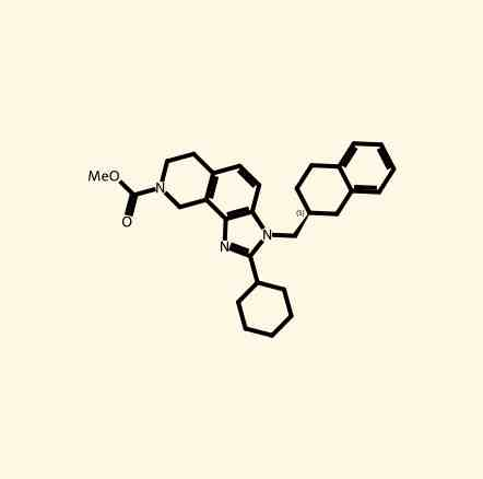 COC(=O)N1CCc2ccc3c(nc(C4CCCCC4)n3C[C@H]3CCc4ccccc4C3)c2C1